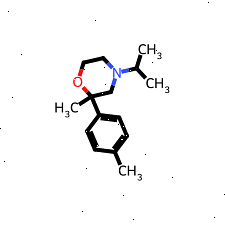 Cc1ccc(C2(C)CN(C(C)C)CCO2)cc1